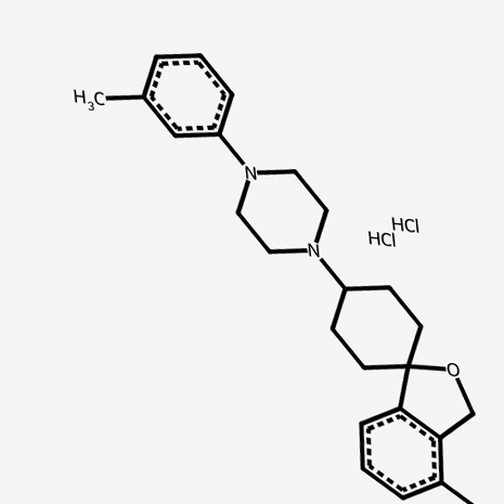 Cc1cccc(N2CCN(C3CCC4(CC3)OCc3c(Br)cccc34)CC2)c1.Cl.Cl